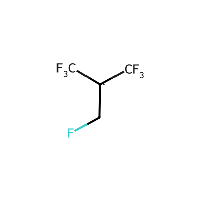 FC[C](C(F)(F)F)C(F)(F)F